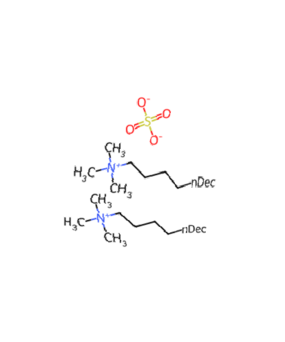 CCCCCCCCCCCCCC[N+](C)(C)C.CCCCCCCCCCCCCC[N+](C)(C)C.O=S(=O)([O-])[O-]